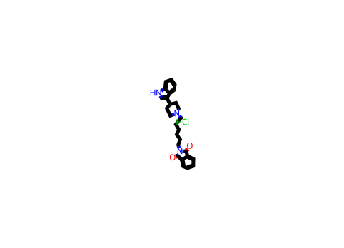 Cl.O=C1c2ccccc2C(=O)N1CCCCCCN1CCC(c2c[nH]c3ccccc23)CC1